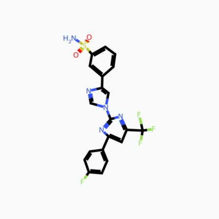 NS(=O)(=O)c1cccc(-c2cn(-c3nc(-c4ccc(F)cc4)cc(C(F)(F)F)n3)cn2)c1